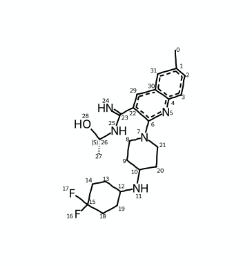 Cc1ccc2nc(N3CCC(NC4CCC(F)(F)CC4)CC3)c(C(=N)N[C@H](C)O)cc2c1